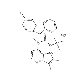 Cc1[nH]c2c(N(CC3(Cc4ccccc4)C=CC(F)=CC3)C(=O)OC(C)(C)C)ccnc2c1C.Cl